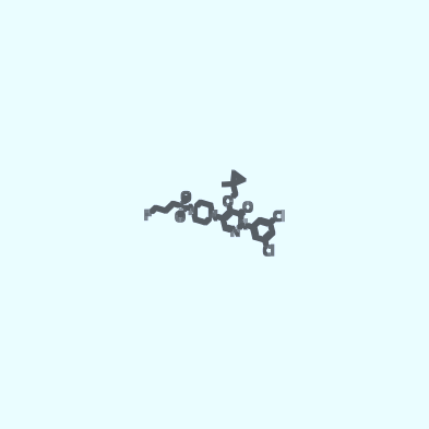 CC1(COc2c(N3CCN(S(=O)(=O)CCCF)CC3)cnn(-c3cc(Cl)cc(Cl)c3)c2=O)CC1